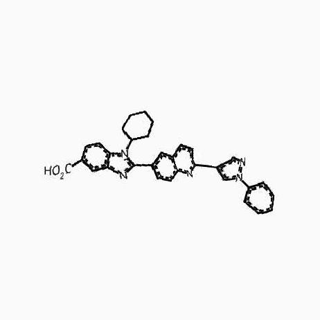 O=C(O)c1ccc2c(c1)nc(-c1ccc3nc(-c4cnn(-c5ccccc5)c4)ccc3c1)n2C1CCCCC1